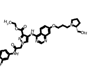 CCOC(=O)c1nn(CC(=O)Nc2cccc(F)c2)cc1Nc1ncnc2cc(OCCCN3CCC[C@@H]3CO)ccc12